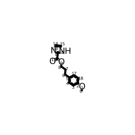 COc1ccc(CCCOC(=O)c2ncc[nH]2)cc1